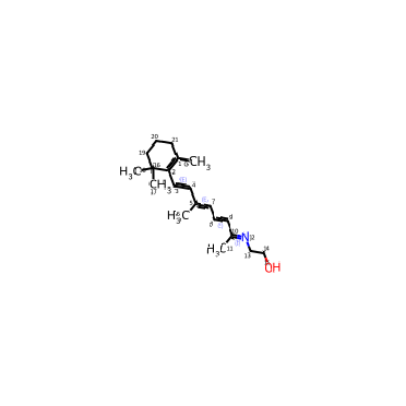 CC1=C(/C=C/C(C)=C/C=C/C(C)=N/CCO)C(C)(C)CCC1